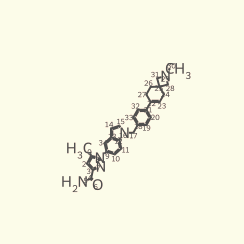 Cc1cc(C(N)=O)nn1-c1ccc2c(ccn2Cc2ccc(C3=CCC4(CC3)CN(C)C4)cc2)c1